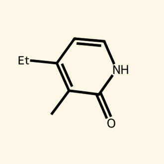 CCc1cc[nH]c(=O)c1C